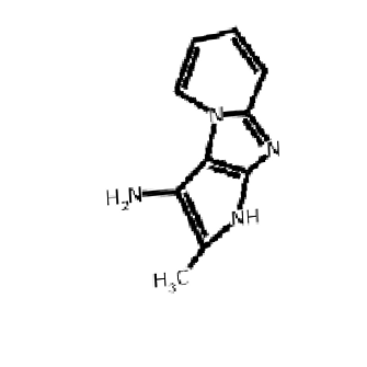 Cc1[nH]c2nc3ccccn3c2c1N